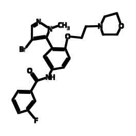 Cn1ncc(Br)c1-c1cc(NC(=O)c2cccc(F)c2)ccc1OCCN1CCOCC1